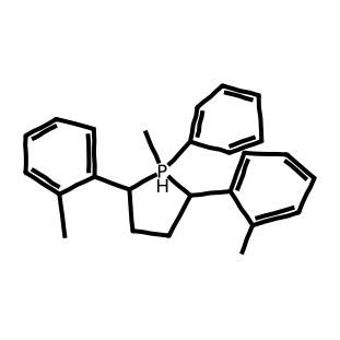 Cc1ccccc1C1CCC(c2ccccc2C)[PH]1(C)c1ccccc1